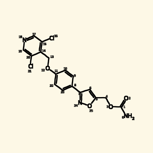 NC(=O)OCc1cc(-c2ccc(OCc3c(Cl)cncc3Cl)cc2)no1